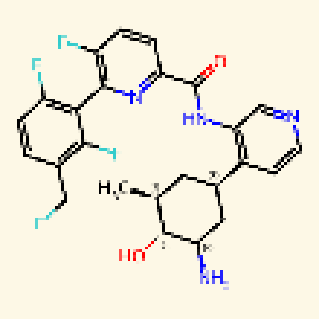 C[C@H]1C[C@@H](c2ccncc2NC(=O)c2ccc(F)c(-c3c(F)ccc(CF)c3F)n2)C[C@@H](N)[C@@H]1O